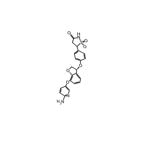 Nc1ccc(Oc2cccc3c2OC[C@H]3Oc2ccc(C3CC(=O)NS3(=O)=O)cc2)cn1